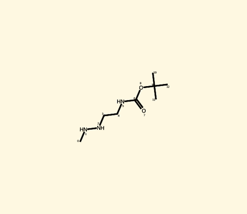 CNNCCNC(=O)OC(C)(C)C